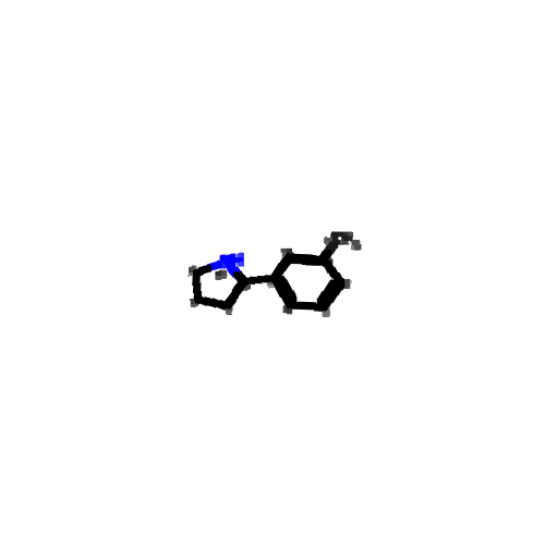 FC(F)(F)c1cccc(C2CCCN2)c1